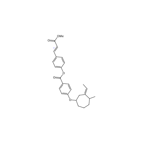 CC=C1CC(Oc2ccc(C(=O)Oc3ccc(/C=C/C(=O)OC)cc3)cc2)CCCC1C